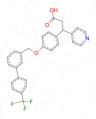 O=C(O)CC(c1ccncc1)c1ccc(OCc2cccc(-c3ccc(C(F)(F)F)cc3)c2)cc1